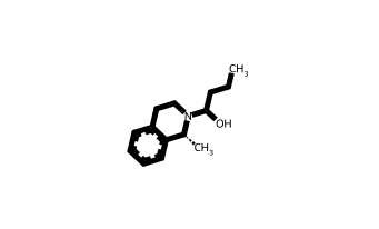 CCCC(O)N1CCc2ccccc2[C@H]1C